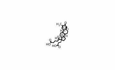 CC1=C[C@@]2(C)C(=CC1=O)CC[C@@H]1[C@@H]2CC[C@@]2(C)[C@H]1CC[C@]2(CCC(=O)O)C(=O)CCCC(=O)O